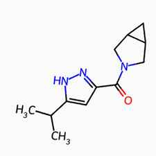 CC(C)c1cc(C(=O)N2CC3CC3C2)n[nH]1